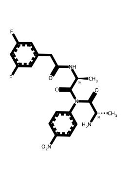 C[C@H](N)C(=O)N(C(=O)[C@H](C)NC(=O)Cc1cc(F)cc(F)c1)c1ccc([N+](=O)[O-])cc1